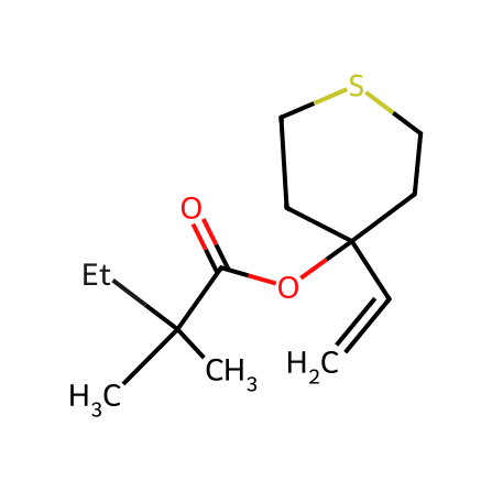 C=CC1(OC(=O)C(C)(C)CC)CCSCC1